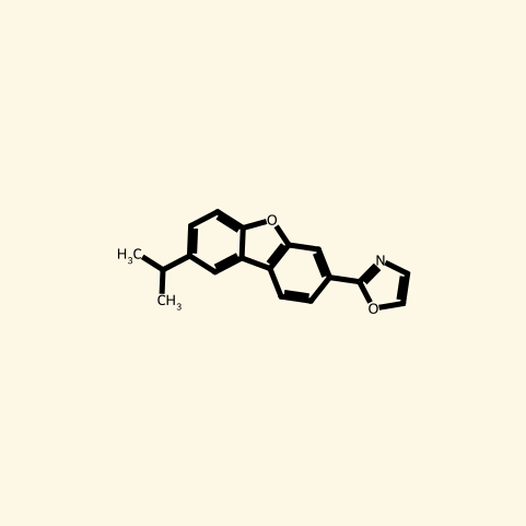 CC(C)c1ccc2oc3cc(-c4ncco4)ccc3c2c1